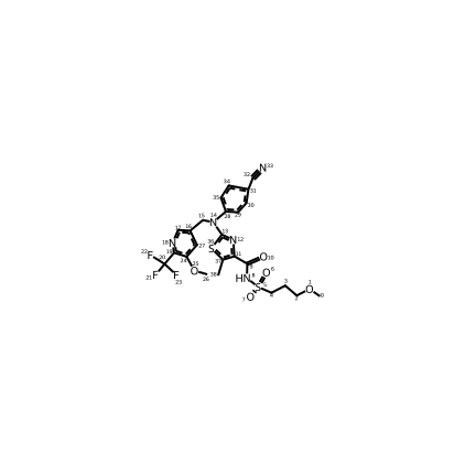 COCCCS(=O)(=O)NC(=O)c1nc(N(Cc2cnc(C(F)(F)F)c(OC)c2)c2ccc(C#N)cc2)sc1C